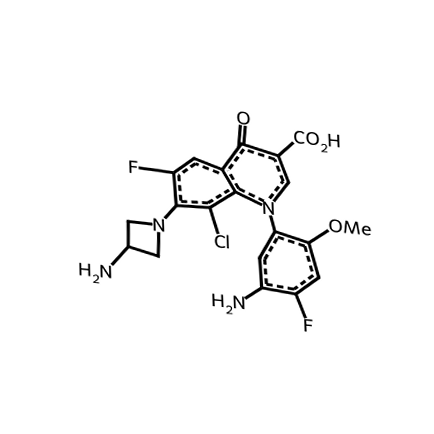 COc1cc(F)c(N)cc1-n1cc(C(=O)O)c(=O)c2cc(F)c(N3CC(N)C3)c(Cl)c21